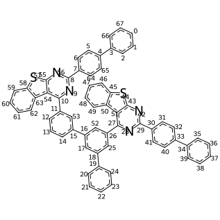 c1ccc(-c2ccc(-c3nc(-c4cccc(-c5cc(-c6ccccc6)cc(-c6nc(-c7ccc(-c8ccccc8)cc7)nc7sc8ccccc8c67)c5)c4)c4c(n3)sc3ccccc34)cc2)cc1